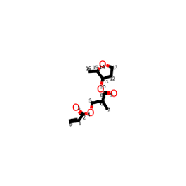 C=CC(=O)OCC(C)C(=O)OC1CCOC1C